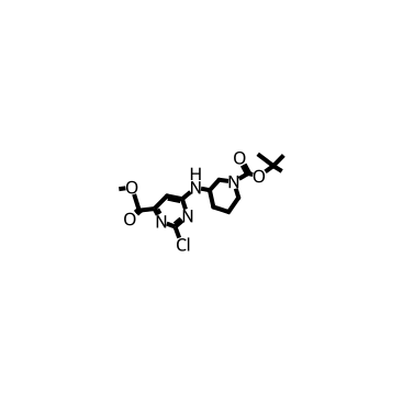 COC(=O)c1cc(NC2CCCN(C(=O)OC(C)(C)C)C2)nc(Cl)n1